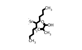 C=C(C)C(=O)O.CCCCC[CH]([Sn])CCCCC